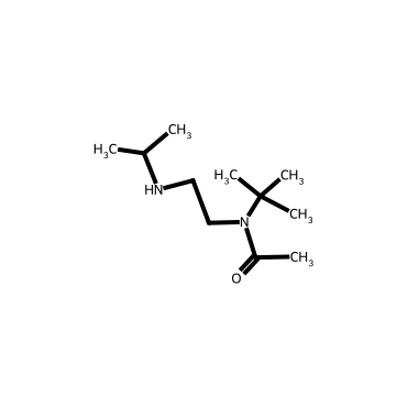 CC(=O)N(CCNC(C)C)C(C)(C)C